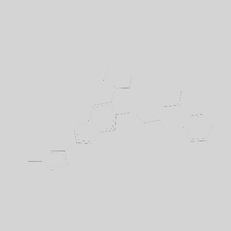 O=C(O)CN(CC(=O)O)c1ccc(Cl)cc1OCCOc1cc2cc(-c3ncc(C(=O)O)o3)oc2cc1N(CC(=O)O)CC(=O)O